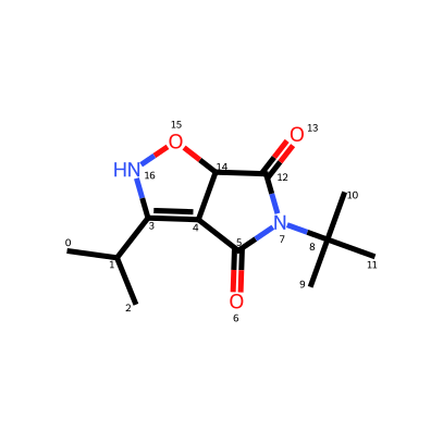 CC(C)C1=C2C(=O)N(C(C)(C)C)C(=O)C2ON1